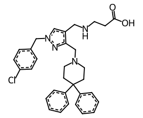 O=C(O)CCNCc1cn(Cc2ccc(Cl)cc2)nc1CN1CCC(c2ccccc2)(c2ccccc2)CC1